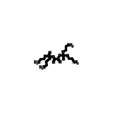 NCCOP(=O)(OCCN)OC(=O)C(=O)OP(=O)(OCCN)OCCN